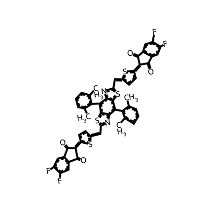 Cc1cccc(C)c1-c1c2nc(/C=c3\ccc(=C4C(=O)c5cc(F)c(F)cc5C4=O)s3)sc2c(-c2c(C)cccc2C)c2nc(/C=c3\ccc(=C4C(=O)c5cc(F)c(F)cc5C4=O)s3)sc12